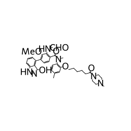 COc1c(-c2cccc3[nH]nc(O)c23)ccc(C(=O)N(C)c2ccc(C)cc2OCCCCCC(=O)N2CCN(C)CC2)c1NC=O